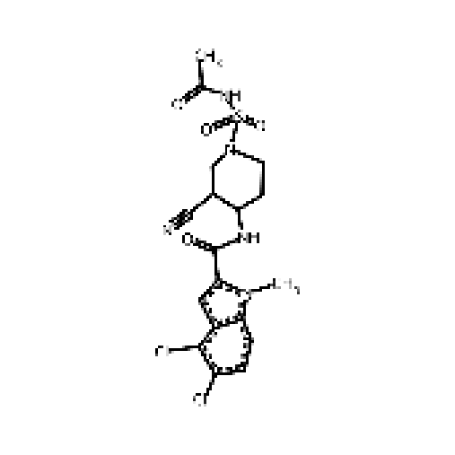 CC(=O)NS(=O)(=O)N1CCC(NC(=O)c2cc3c(Cl)c(Cl)ccc3n2C)C(C#N)C1